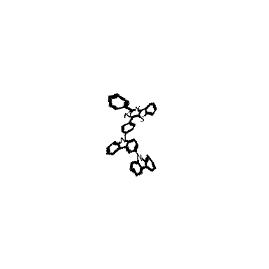 c1ccc(-c2nc(-c3ccc(-n4c5ccccc5c5cc(-n6c7ccccc7c7ccccc76)ccc54)cc3)c3sc4ccccc4c3n2)cc1